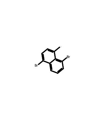 [CH2]c1ccc(Br)c2cccc(Br)c12